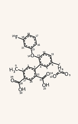 Cc1cc(-c2cc(C[SH](=O)=O)ccc2Oc2cccc(F)c2)c(C(=O)O)cc1C(=O)O